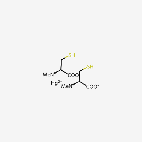 CN[C@@H](CS)C(=O)[O-].CN[C@@H](CS)C(=O)[O-].[Hg+2]